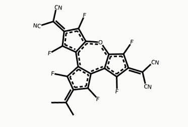 CC(C)=c1c(F)c2c3c(F)c(=C(C#N)C#N)c(F)c3oc3c(F)c(=C(C#N)C#N)c(F)c3c2c1F